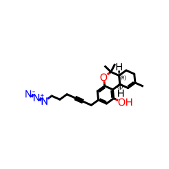 CC1=C[C@H]2c3c(O)cc(CC#CCCCN=[N+]=[N-])cc3OC(C)(C)[C@@H]2CC1